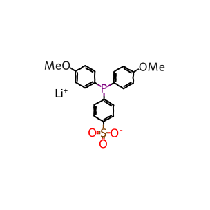 COc1ccc(P(c2ccc(OC)cc2)c2ccc(S(=O)(=O)[O-])cc2)cc1.[Li+]